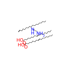 C=CCCCCCCC(CCCCCCCCC)NCCCN.CCCCCCCCC=CCCCCCCCC(=O)O.CCCCCCCCC=CCCCCCCCC(=O)O